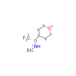 CCN[C@@H](C1CCOCC1)C(F)(F)F